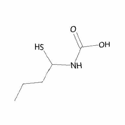 CCCC(S)NC(=O)O